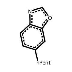 CCCCCc1ccc2ncoc2c1